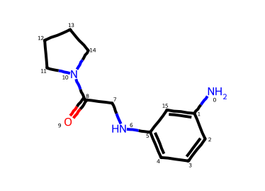 Nc1cccc(NCC(=O)N2CCCC2)c1